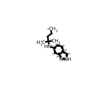 CCCC(C)(C)Nc1ccc2c[nH]nc2c1